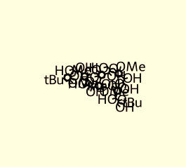 COc1cc(C(O)C(CO)Oc2ccc(C(O)C(CO)OC(C)(C)C)cc2OC)ccc1OC(CO)C(O)c1cc(OC)c(O)c(-c2cc(C(O)C(CO)Oc3ccc(C(O)C(CO)Oc4ccc(C(C)(C)C)cc4OC)cc3C)cc(OC)c2O)c1